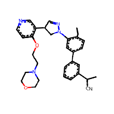 Cc1ccc(-c2cccc(C(C)C#N)c2)cc1N1CC(c2cnccc2OCCN2CCOCC2)C=N1